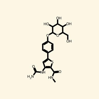 CNC(=O)c1sc(-c2ccc(OC3OC(CO)C(O)C(O)C3O)cc2)cc1NC(N)=O